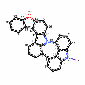 In1c2cccc3c4cccc5c6c7c(ccc6n(c6cccc1c6c32)c45)oc1ccccc17